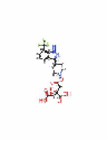 O=C(O)CC(O)(CC(=O)ON1CCC(c2n[nH]c3c(C(F)(F)F)cccc23)CC1)C(=O)O